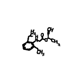 C#CC(C)OC(=O)CNc1c(CC)cccc1CC